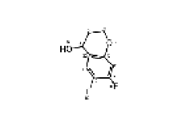 OC1CCOc2cc(F)c(F)cc21